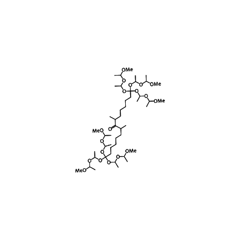 COC(C)OC(C)OC(CCCCCC(C)C(=O)C(C)CCCCCC(OC(C)OC(C)OC)(OC(C)OC(C)OC)OC(C)OC(C)OC)(OC(C)OC(C)OC)OC(C)OC(C)OC